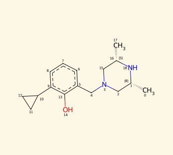 C[C@@H]1CN(Cc2cccc(C3CC3)c2O)C[C@H](C)N1